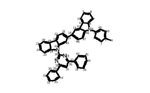 Cc1ccc(-n2c3ccccc3c3cc(-c4ccc5c6ccccc6n(-c6nc(-c7ccccc7)cc(-c7ccccc7)n6)c5c4)ccc32)cc1